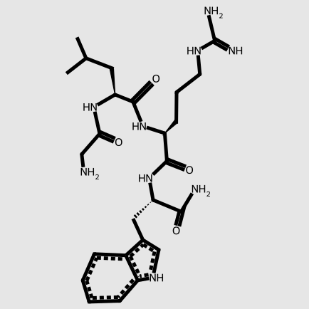 CC(C)C[C@H](NC(=O)CN)C(=O)N[C@@H](CCCNC(=N)N)C(=O)N[C@@H](Cc1c[nH]c2ccccc12)C(N)=O